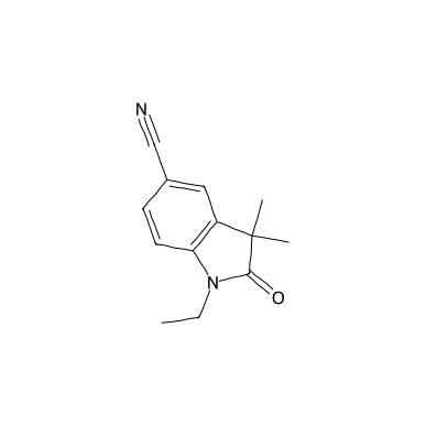 CCN1C(=O)C(C)(C)c2cc(C#N)ccc21